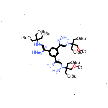 CCOCC(COCC(C)C)(COCC(C)C)N/C=C(\N=N)c1cc(/C(N)=C/N(N)C(COCC)(COCC(C)C)COCC(C)C)cc(/C(=C/NC(COCC(C)C)(COCC(C)C)COCC(C)C)N=N)c1